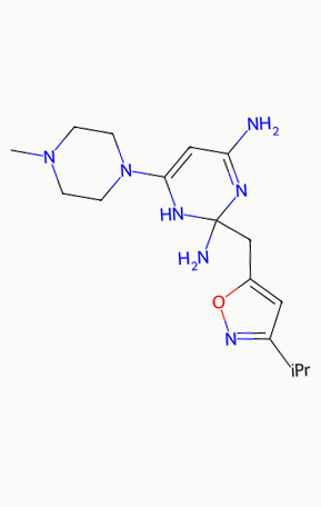 CC(C)c1cc(CC2(N)N=C(N)C=C(N3CCN(C)CC3)N2)on1